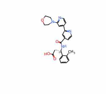 Cc1ccccc1[C@H](CC(=O)O)NC(=O)c1ccnc(-c2ccnc(N3CCOCC3)c2)c1